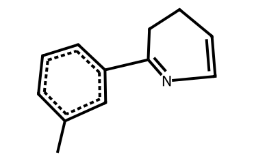 Cc1cccc(C2=NC=CCC2)c1